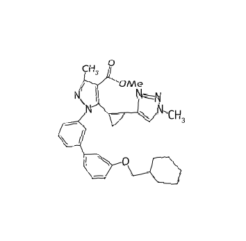 COC(=O)c1c(C)nn(-c2cccc(-c3cccc(OCC4CCCCC4)c3)c2)c1C1CC1c1cn(C)nn1